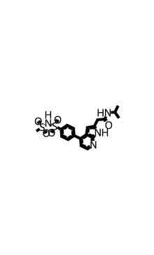 CC(C)NC(=O)Cc1cc2c(-c3ccc(S(=O)(=O)NS(C)(=O)=O)cc3)ccnc2[nH]1